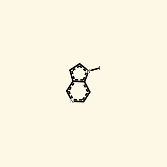 In1ccc2cnccc21